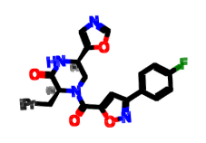 CC(C)C[C@H]1C(=O)N[C@@H](c2cnco2)CN1C(=O)c1cc(-c2ccc(F)cc2)no1